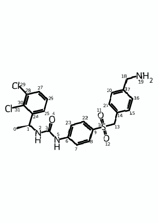 C[C@H](NC(=O)Nc1ccc(S(=O)(=O)Cc2ccc(CN)cc2)cc1)c1cccc(Cl)c1Cl